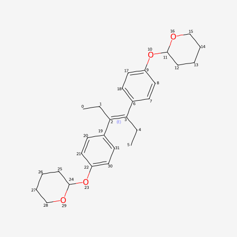 CC/C(=C(/CC)c1ccc(OC2CCCCO2)cc1)c1ccc(OC2CCCCO2)cc1